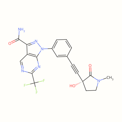 CN1CC[C@@](O)(C#Cc2cccc(-n3nc(C(N)=O)c4cnc(C(F)(F)F)nc43)c2)C1=O